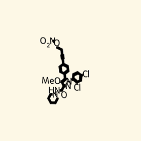 COc1c(C(=O)NN2CCCCC2)nn(-c2ccc(Cl)cc2Cl)c1-c1ccc(C#CCCO[N+](=O)[O-])cc1